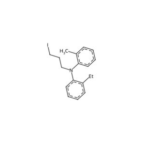 CCc1ccccc1N(CCCI)c1ccccc1C